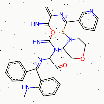 C=C(/N=C(\SN1CCOCC1)c1cccnc1)C(=N)OC(=N)NC(C=O)/N=C(/c1ccccc1)c1ccccc1NC